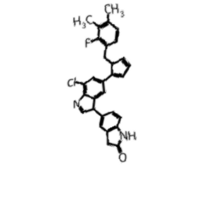 Cc1ccc(CC2C=CC=C2c2cc(Cl)c3c(c2)C(c2ccc4c(c2)CC(=O)N4)C=N3)c(F)c1C